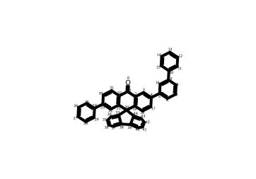 O=C1c2cc(-c3cccc(-c4ccccc4)c3)ccc2C2(c3cc(-c4ccccc4)ccc31)c1ccccc1-c1ccccc12